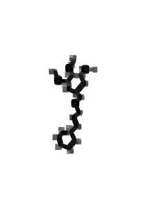 COc1cc(COC/C=C/c2ccccc2)cc(OC)c1OC